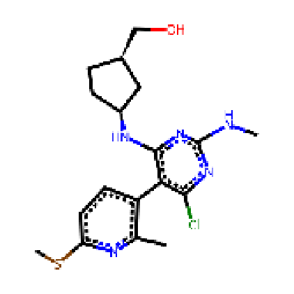 CNc1nc(Cl)c(-c2ccc(SC)nc2C)c(N[C@H]2CC[C@@H](CO)C2)n1